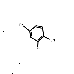 CCc1cc(C(C)C)ccc1C#N